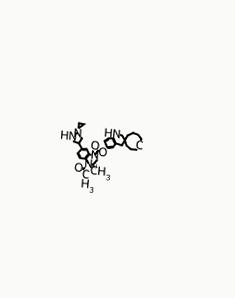 CC(=O)N1c2ccc(C3CNN(C4CC4)C3)cc2N(C(=O)Oc2ccc3c(c2)CC2(CCCCCCCC2)CN3)C[C@@H]1C